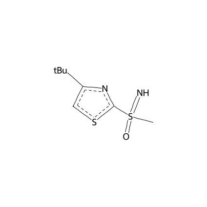 CC(C)(C)c1csc(S(C)(=N)=O)n1